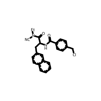 CCN(C#N)C(=O)C(Cc1ccc2ccccc2c1)NC(=O)c1ccc(CCl)cc1